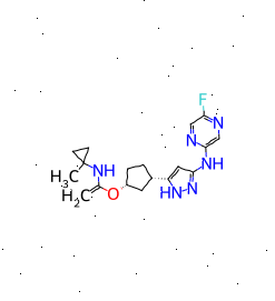 C=C(NC1(C)CC1)O[C@@H]1CC[C@H](c2cc(Nc3cnc(F)cn3)n[nH]2)C1